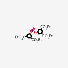 CCOC(=O)c1cc(O[PH](=O)Oc2cc(C(=O)OCC)cc(C(=O)OCC)c2)cc(C(=O)OCC)c1